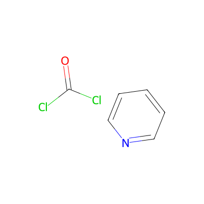 O=C(Cl)Cl.c1ccncc1